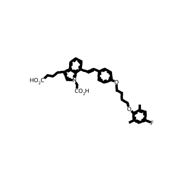 Cc1cc(F)cc(C)c1OCCCCOc1ccc(C=Cc2cccc3c(CCCC(=O)O)cn(CC(=O)O)c23)cc1